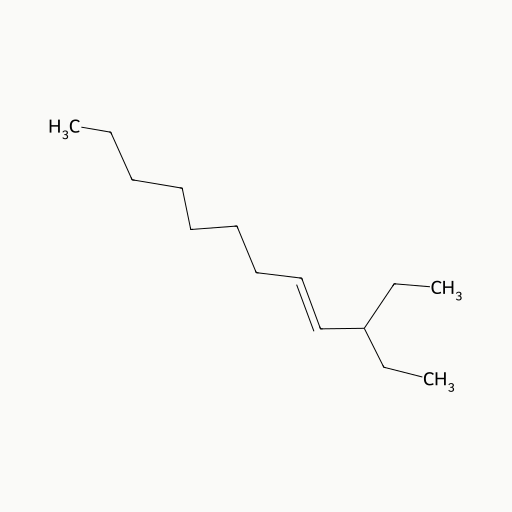 CCCCCCC/C=C/C(CC)CC